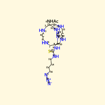 CC(=O)NC12CNCCNCC(NC(=S)NCCCCN=[N+]=[N-])(CNCCNC1)CNCCNC2